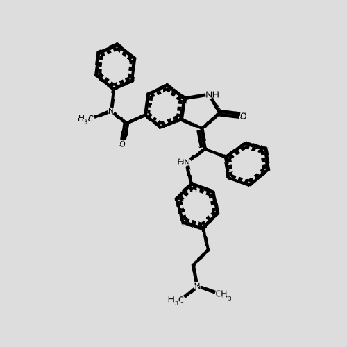 CN(C)CCc1ccc(NC(=C2C(=O)Nc3ccc(C(=O)N(C)c4ccccc4)cc32)c2ccccc2)cc1